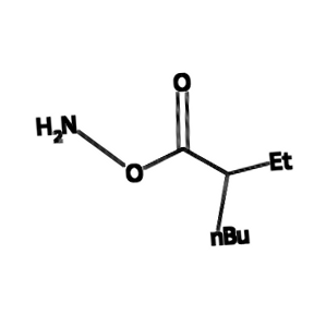 CCCCC(CC)C(=O)ON